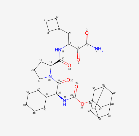 NC(=O)C(=O)C(CC1CCC1)NC(=O)[C@@H]1CCCN1C(=O)[C@@H](NC(=O)OC12CC3CC(CC(C3)C1)C2)C1CCCCC1